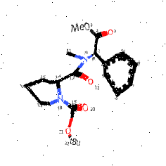 COC(=O)[C@@H](c1ccccc1)N(C)C(=O)C1CCCN1C(=O)OC(C)(C)C